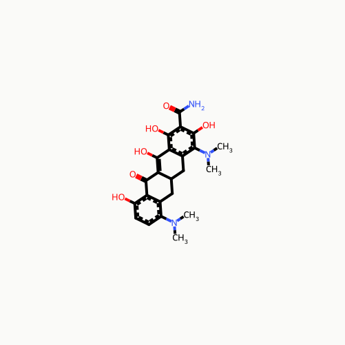 CN(C)c1ccc(O)c2c1CC1Cc3c(c(O)c(C(N)=O)c(O)c3N(C)C)C(O)=C1C2=O